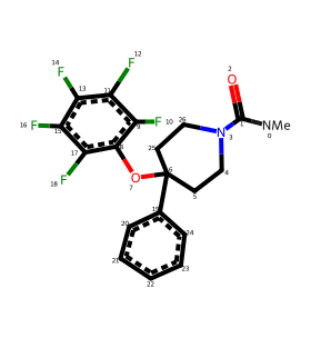 CNC(=O)N1CCC(Oc2c(F)c(F)c(F)c(F)c2F)(c2ccccc2)CC1